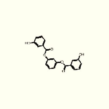 O=C(Oc1cccc(OC(=O)c2cccc(O)c2)c1)c1cccc(O)c1